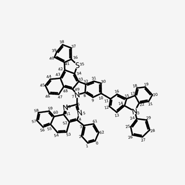 c1ccc(-c2nc(-n3c4cc(-c5ccc6c(c5)c5ccccc5n6-c5ccccc5)ccc4c4c5sc6ccccc6c5c5ccccc5c43)nc3c2ccc2ccccc23)cc1